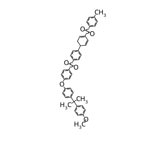 COc1ccc(C(C)(C)c2ccc(Oc3ccc(S(=O)(=O)c4ccc(C5C=CC(S(=O)(=O)c6ccc(C)cc6)=CC5)cc4)cc3)cc2)cc1